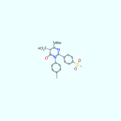 CSc1nc(-c2ccc(S(C)(=O)=O)cc2)n(-c2ccc(C)cc2)c(=O)c1C(=O)O